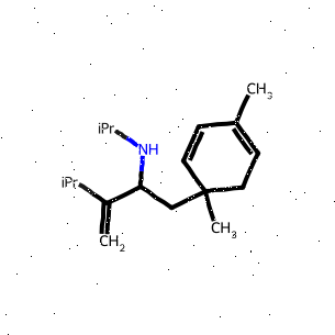 C=C(C(C)C)C(CC1(C)C=CC(C)=CC1)NC(C)C